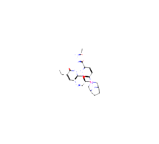 CCc1cc2ncc(CN3C4CCC3CN(c3ccc(-c5nnc(C)o5)nc3)C4)cc2[nH]c1=O